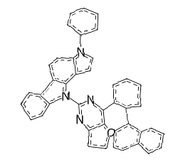 c1ccc(-n2ccc3c2ccc2c4ccccc4n(-c4nc(-c5ccccc5-c5cccc6ccccc56)c5occc5n4)c23)cc1